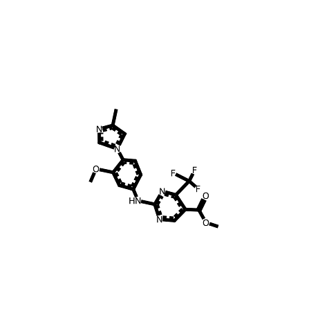 COC(=O)c1cnc(Nc2ccc(-n3cnc(C)c3)c(OC)c2)nc1C(F)(F)F